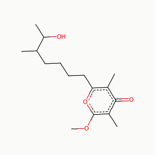 COc1oc(CCCCC(C)C(C)O)c(C)c(=O)c1C